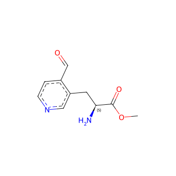 COC(=O)[C@@H](N)Cc1cnccc1C=O